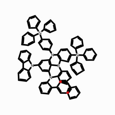 c1ccc(-c2ccc3c(c2)N(c2ccccc2-c2ccccc2)c2cc(-n4c5ccccc5c5ccccc54)cc4c2B3c2cc([Si](c3ccccc3)(c3ccccc3)c3ccccc3)ccc2N4c2ccc([Si](c3ccccc3)(c3ccccc3)c3ccccc3)cc2)cc1